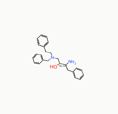 N[C@@H](Cc1ccccc1)[C@@H](O)CN(CCc1ccccc1)Cc1ccccc1